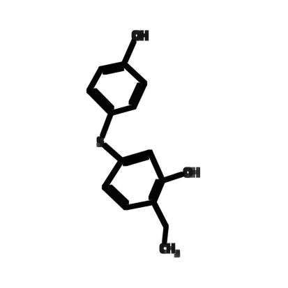 CCc1ccc(Sc2ccc(O)cc2)cc1O